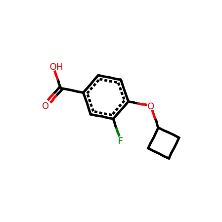 O=C(O)c1ccc(OC2CCC2)c(F)c1